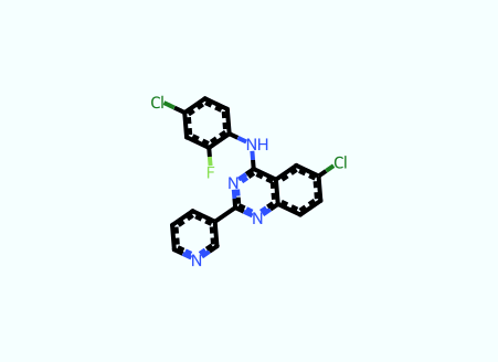 Fc1cc(Cl)ccc1Nc1nc(-c2cccnc2)nc2ccc(Cl)cc12